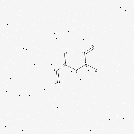 C=CC(C)CC(C)C=C